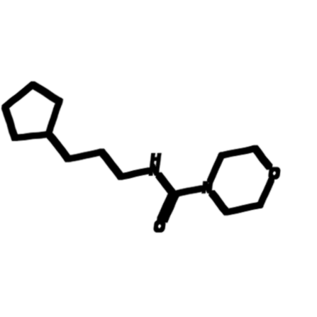 O=C(NCCCC1CCCC1)N1CCOCC1